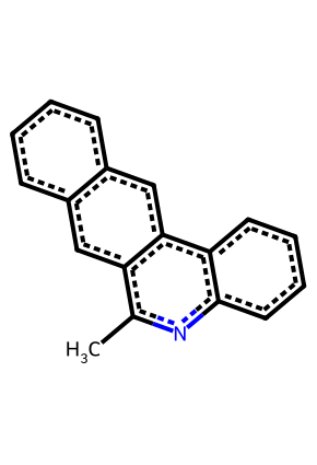 Cc1nc2ccccc2c2cc3ccccc3cc12